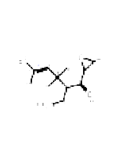 C/C(Br)=C\C(C)(C)C(CS(=O)(=O)O)C(=O)C1CO1